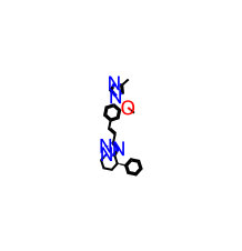 COc1cc(/C=C/c2nc3n(n2)CCC[C@@H]3c2ccccc2)ccc1-n1cnc(C)c1